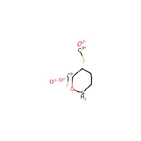 C1CC[SiH2]OC1.[C+3]F.[C+3]F.[O-2].[O-2].[O-2]